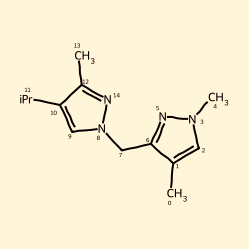 Cc1cn(C)nc1Cn1cc(C(C)C)c(C)n1